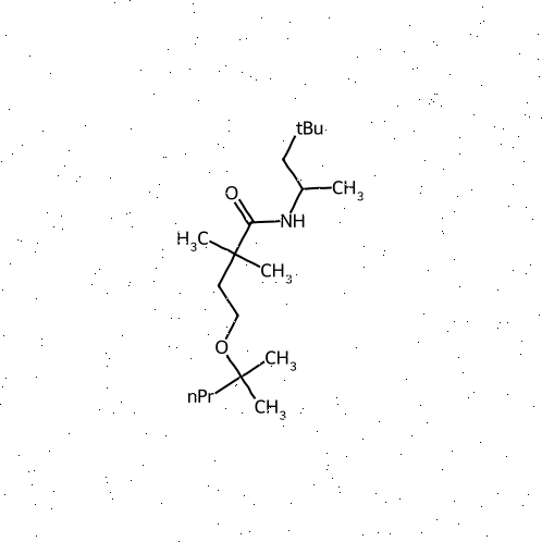 CCCC(C)(C)OCCC(C)(C)C(=O)NC(C)CC(C)(C)C